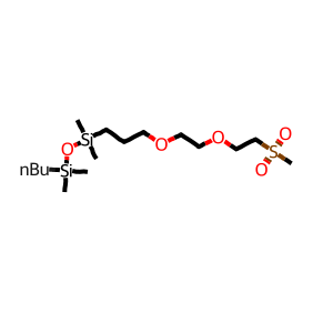 CCCC[Si](C)(C)O[Si](C)(C)CCCOCCOCCS(C)(=O)=O